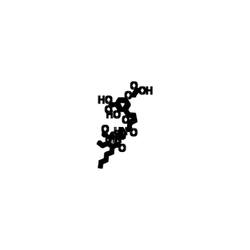 CCCCCC(C(=O)NCNC(=O)c1ccc(-c2cc(OCC(=O)O)cc(C(=O)O)c2O)o1)C(CC)N(O)C=O